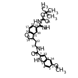 COc1ccc2[nH]c(C(=O)NCCC3COc4ccc(C(=N)NC(=O)OC(C)(C)C)cc43)cc2c1